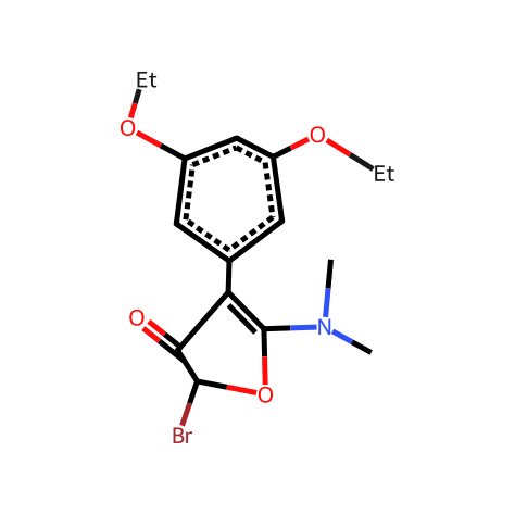 CCOc1cc(OCC)cc(C2=C(N(C)C)OC(Br)C2=O)c1